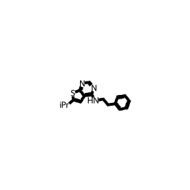 CC(C)c1cc2c(NCCc3ccccc3)ncnc2s1